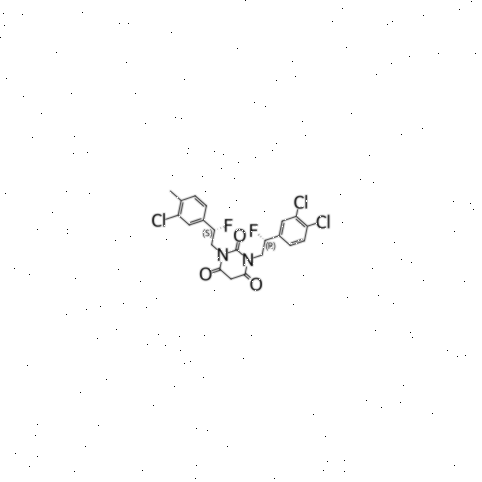 Cc1ccc([C@H](F)CN2C(=O)CC(=O)N(C[C@H](F)c3ccc(Cl)c(Cl)c3)C2=O)cc1Cl